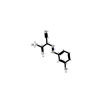 N#CC(/N=N/c1cccc(Br)c1)C(N)=O